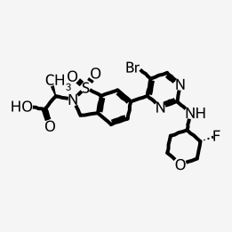 C[C@H](C(=O)O)N1Cc2ccc(-c3nc(NC4CCOC[C@H]4F)ncc3Br)cc2S1(=O)=O